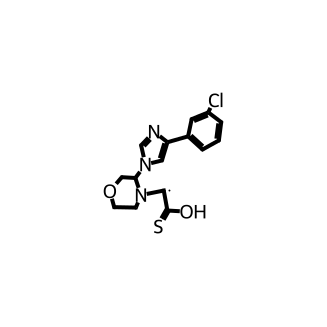 OC(=S)[CH]N1CCOCC1n1cnc(-c2cccc(Cl)c2)c1